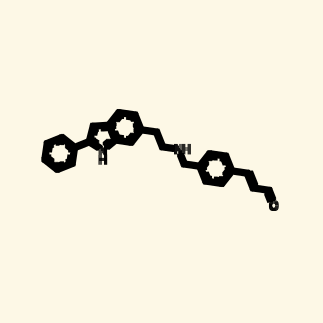 O=C/C=C/c1ccc(CNCCc2ccc3cc(-c4ccccc4)[nH]c3c2)cc1